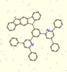 c1ccc(-c2cc(-c3ccccc3)nc(-c3cc(-c4cc(-c5ccccc5)cc(-c5ccccc5)n4)cc(C4c5ccccc5-c5cc6sc7ccccc7c6cc54)c3)c2)cc1